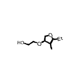 CCC1OCC(OCCO)C1C